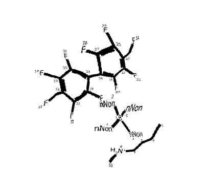 CCCCCCCCC[B-](CCCCCCCCC)(CCCCCCCCC)CCCCCCCCC.CCCC[NH2+]C.Fc1c(F)c(F)c(-c2c(F)c(F)c(F)c(F)c2F)c(F)c1F